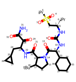 CC(C)[C@@H](CS(=O)(=O)C(C)C)NC(=O)N[C@H](C(=O)N1CCC(C(C)(C)C)C1C(=O)NC(CC1CC1)C(=O)C(N)=O)C1CCCCC1